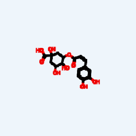 O=C(/C=C\c1ccc(O)c(O)c1)OC1CC(O)(C(=O)O)C[C@H](O)C1O